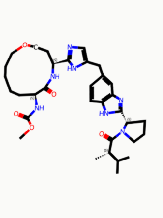 COC(=O)N[C@H]1CCCCCOCC[C@@H](c2ncc(Cc3ccc4[nH]c([C@@H]5CCCN5C(=O)[C@@H](C)C(C)C)nc4c3)[nH]2)NC1=O